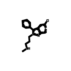 CNCCCn1nc2ccc(Cl)cc2c1-c1ccccc1